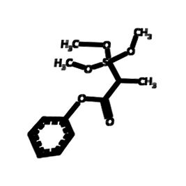 CO[Si](OC)(OC)C(C)C(=O)Oc1ccccc1